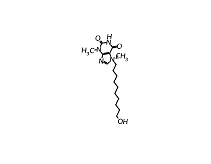 Cn1c2c(c(=O)[nH]c1=O)[N+](C)(CCCCCCCCCCO)C=N2